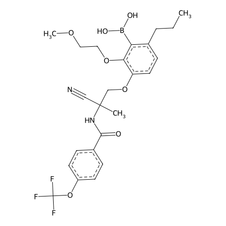 CCCc1ccc(OCC(C)(C#N)NC(=O)c2ccc(OC(F)(F)F)cc2)c(OCCOC)c1B(O)O